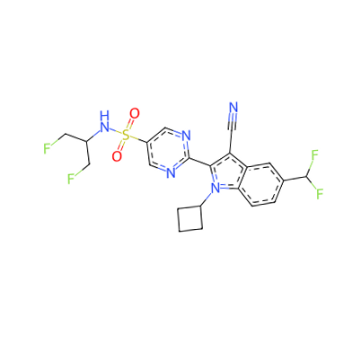 N#Cc1c(-c2ncc(S(=O)(=O)NC(CF)CF)cn2)n(C2CCC2)c2ccc(C(F)F)cc12